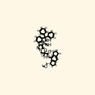 COC[C@H]1CCc2cc3c(c(NC(=O)C4(C)Cn5ncc(S(=N)(=O)NC(c6ccccc6)(c6ccccc6)c6ccccc6)c5O4)c21)CCC3